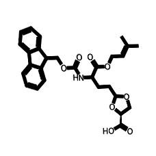 CC(C)=CCOC(=O)C(CCC1OC[C@@H](C(=O)O)O1)NC(=O)OCC1c2ccccc2-c2ccccc21